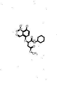 COC(=O)CC(Oc1ccc(Cl)c([N+](=O)[O-])c1C=O)C(=O)NC1CCCCC1